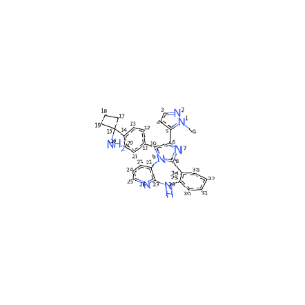 Cn1nccc1-c1nc2n(c1-c1ccc(C3(N)CCC3)cc1)-c1cccnc1Nc1ccccc1-2